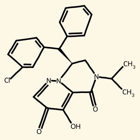 CC(C)N1C[C@H](C(c2ccccc2)c2cccc(Cl)c2)n2ncc(=O)c(O)c2C1=O